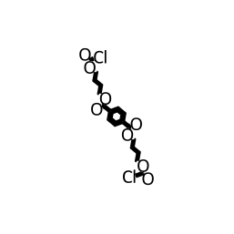 O=C(Cl)OCCCCOC(=O)c1ccc(C(=O)OCCCCOC(=O)Cl)cc1